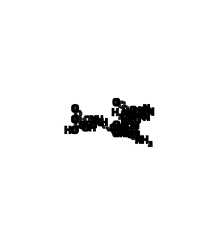 COc1ccc(C[C@H](N)C(=O)N[C@H]2[C@@H](O)[C@H](n3cnc4c(N(C)C)ncnc43)O[C@@H]2COP(=O)(O)O[C@H]2C[C@H](n3ccc(N)nc3=O)O[C@@H]2COP(=O)(O)OC(CO)CCCCCNC(=O)Nc2ccc(-c3c4ccc(=O)cc-4oc4cc(O)ccc34)c(C(=O)O)c2)cc1